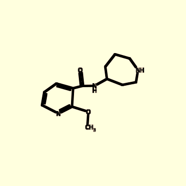 COc1ncccc1C(=O)NC1CCCNCC1